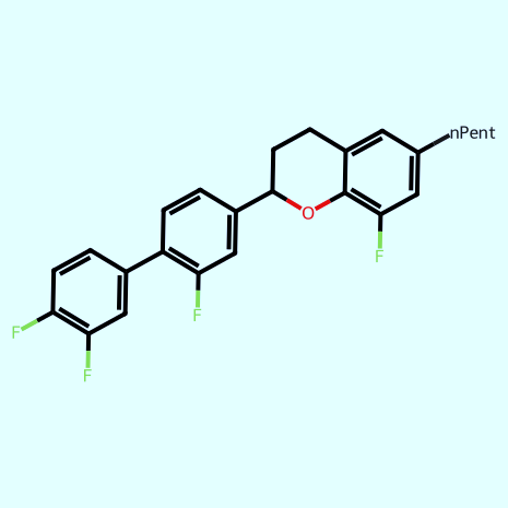 CCCCCc1cc(F)c2c(c1)CCC(c1ccc(-c3ccc(F)c(F)c3)c(F)c1)O2